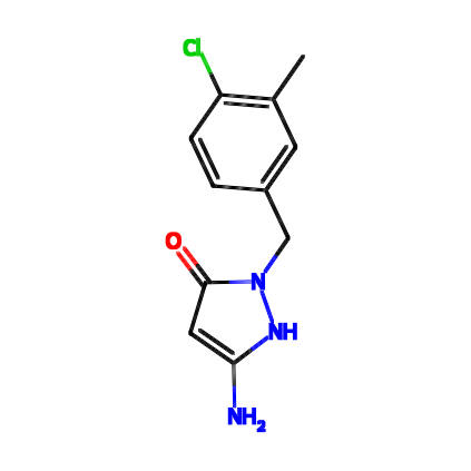 Cc1cc(Cn2[nH]c(N)cc2=O)ccc1Cl